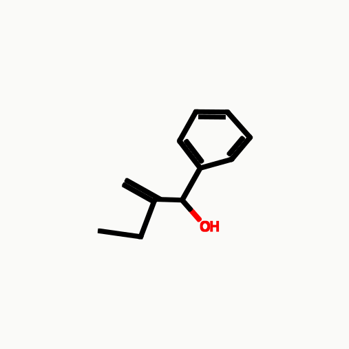 C=C(CC)C(O)c1ccccc1